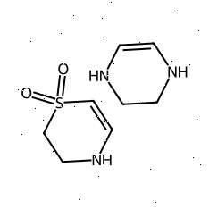 C1=CNCCN1.O=S1(=O)C=CNCC1